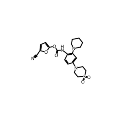 N#Cc1ccc(OC(=O)Nc2ccc(N3CCS(=O)(=O)CC3)cc2N2CCCCC2)o1